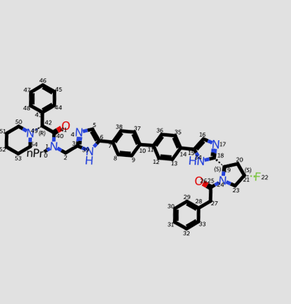 CCCN(Cc1ncc(-c2ccc(-c3ccc(-c4cnc([C@@H]5C[C@H](F)CN5C(=O)Cc5ccccc5)[nH]4)cc3)cc2)[nH]1)C(=O)[C@@H](c1ccccc1)N1CCCCC1